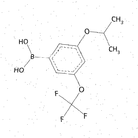 CC(C)Oc1cc(OC(F)(F)F)cc(B(O)O)c1